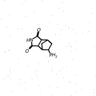 O=C1NC(=O)C2C3CC(CC3P)C12